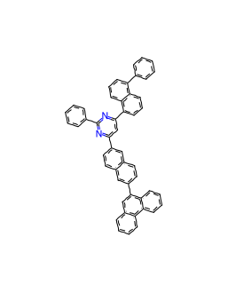 c1ccc(-c2nc(-c3ccc4cc(-c5cc6ccccc6c6ccccc56)ccc4c3)cc(-c3cccc4c(-c5ccccc5)cccc34)n2)cc1